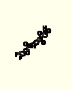 O=C1CCC(N2Cc3cc(CNC(=O)C4=Cc5cc(F)c(F)cc5OC4)ccc3C2=O)C(=O)N1